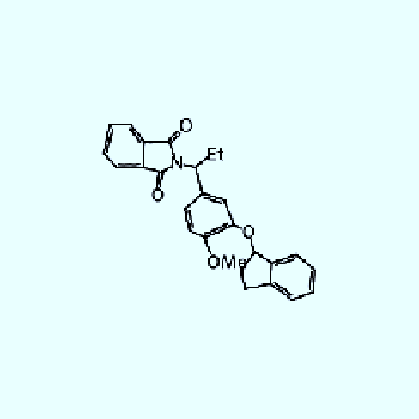 CCC(c1ccc(OC)c(OC2CCc3ccccc32)c1)N1C(=O)c2ccccc2C1=O